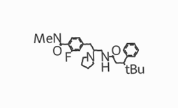 CNC(=O)c1ccc(CC(CNC(=O)CC(c2ccccc2)C(C)(C)C)N2CCCC2)cc1F